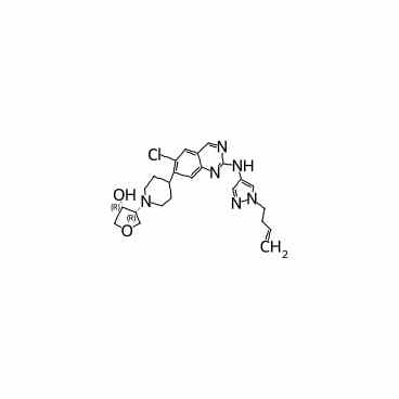 C=CCCn1cc(Nc2ncc3cc(Cl)c(C4CCN([C@@H]5COC[C@@H]5O)CC4)cc3n2)cn1